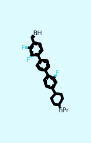 B=Cc1ccc(-c2ccc(-c3ccc(C4CCC(CCC)CC4)cc3F)cc2)c(F)c1F